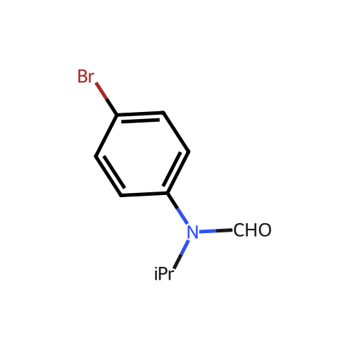 CC(C)N(C=O)c1ccc(Br)cc1